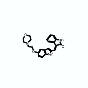 O=C1Nc2ccccc2/C1=C\c1cc2cc(OCCN3CCOCC3)ccc2[nH]1